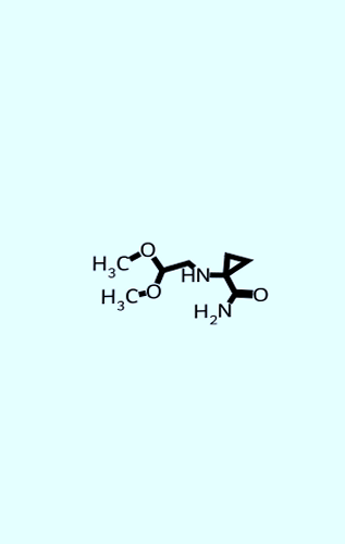 COC(CNC1(C(N)=O)CC1)OC